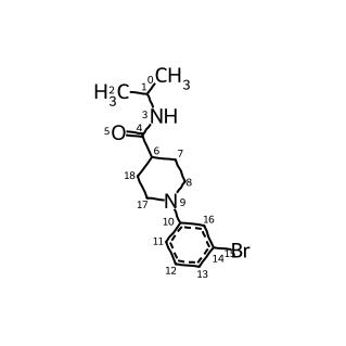 CC(C)NC(=O)C1CCN(c2cccc(Br)c2)CC1